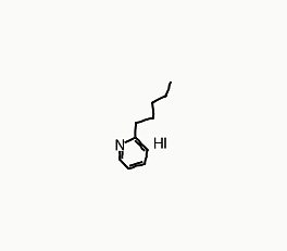 CCCCCc1ccccn1.I